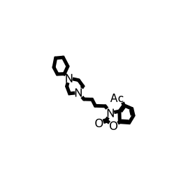 CC(=O)c1cccc2oc(=O)n(CCCCN3CCN(C4CCCCC4)CC3)c12